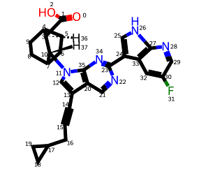 O=C(O)[C@@H]1C2CCC(CC2)[C@H]1n1cc(C#CCC2CC2)c2cnc(-c3c[nH]c4ncc(F)cc34)nc21